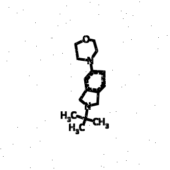 CC(C)(C)N1Cc2ccc(N3CCOCC3)cc2C1